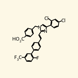 O=C(O)c1ccc(Cn2cc(-c3ccc(Cl)cc3Cl)nc2/C=C/c2ccc(-c3cc(C(F)(F)F)ccc3F)cc2)cc1